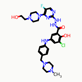 CN1CCN(Cc2ccc(Nc3cc(Cl)c(O)c(C(=O)NNc4ncc(F)c(N5CCN(CCO)CC5)n4)c3)cc2)CC1